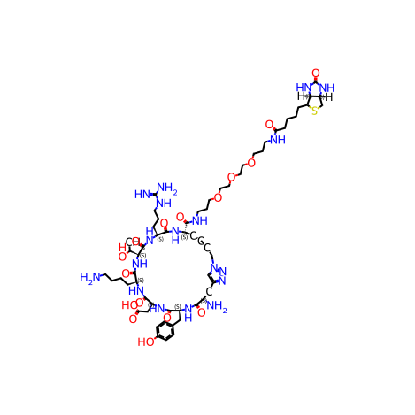 CC(O)[C@@H]1NC(=O)[C@H](CCCCN)NC(=O)[C@H](CC(=O)O)NC(=O)[C@H](Cc2ccc(O)cc2)NC(=O)[C@@H](N)Cc2cn(nn2)CCCC[C@@H](C(=O)NCCCOCCOCCOCCCNC(=O)CCCCC2SC[C@H]3NC(=O)N[C@@H]23)NC(=O)[C@H](CCCNC(=N)N)NC1=O